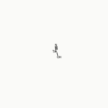 N#[Si]O.[Ta]